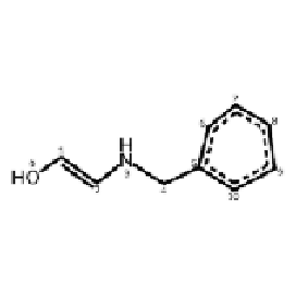 OC=CNCc1ccccc1